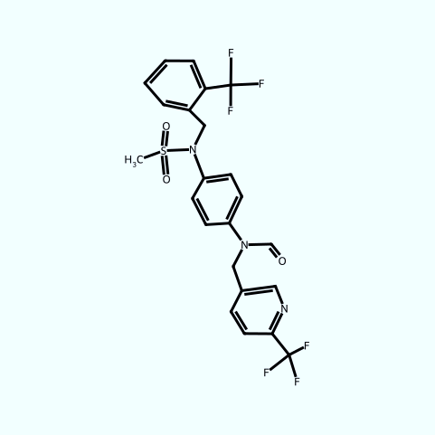 CS(=O)(=O)N(Cc1ccccc1C(F)(F)F)c1ccc(N(C=O)Cc2ccc(C(F)(F)F)nc2)cc1